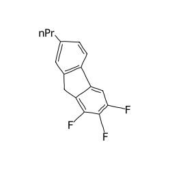 CCCc1ccc2c(c1)Cc1c-2cc(F)c(F)c1F